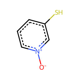 [O-][n+]1cccc(S)c1